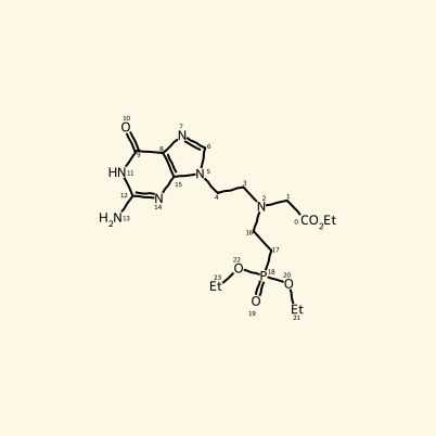 CCOC(=O)CN(CCn1cnc2c(=O)[nH]c(N)nc21)CCP(=O)(OCC)OCC